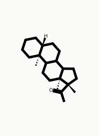 CC(=O)[C@@]1(C)CCC2C3CC[C@H]4CCCC[C@]4(C)C3CC[C@@]21C